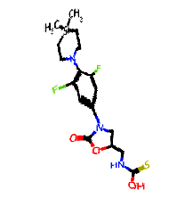 C[Si]1(C)CCN(c2c(F)cc(N3CC(CNC(O)=S)OC3=O)cc2F)CC1